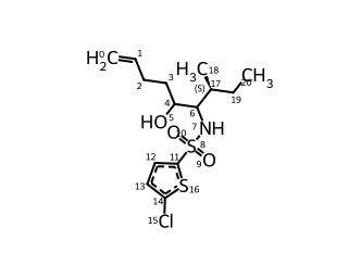 C=CCCC(O)C(NS(=O)(=O)c1ccc(Cl)s1)[C@@H](C)CC